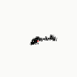 C[C@]12C[C@H](O)[C@@]3(F)[C@@H](CCC4=CC(=O)C=C[C@@]43C)[C@@H]1C[C@@H](O)C2(O)C(=O)COC(=O)NCCOC(=O)OCCC(CON(O)O)ON(O)O